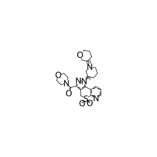 O=C(c1nn([C@@H]2CCCN([C@H]3CCCOC3)C2)c2c1CS(=O)(=O)c1ncccc1-2)N1CCOCC1